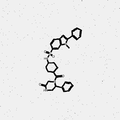 Cn1c(-c2ccccc2)cc2ccc(S(=O)(=O)NC3CCC(C(=O)N4CC(=O)NCC4c4ccccc4)CC3)cc21